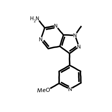 COc1cc(-c2nn(C)c3nc(N)ncc23)ccn1